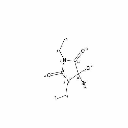 CCN1C(=O)N(CC)C(Cl)(Br)C1=O